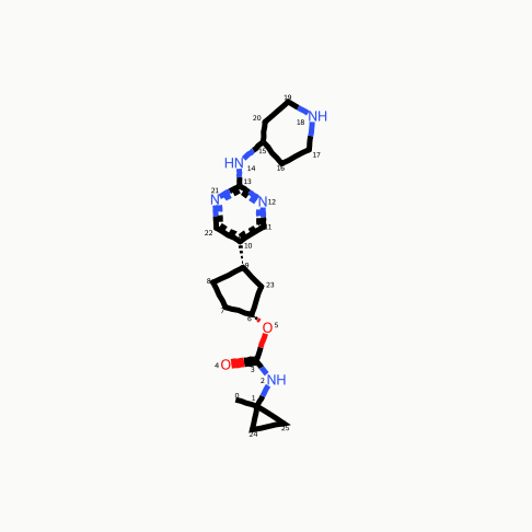 CC1(NC(=O)O[C@@H]2CC[C@H](c3cnc(NC4CCNCC4)nc3)C2)CC1